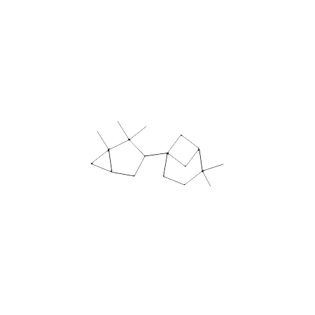 CC1(O)CCC2(C3CC4CC4(C)C3(C)C)CC1C2